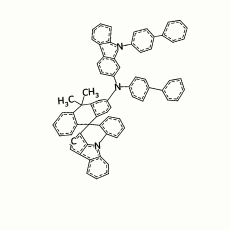 CC1(C)c2ccccc2C2(c3ccccc3-n3c4ccccc4c4cccc2c43)c2ccc(N(c3ccc(-c4ccccc4)cc3)c3ccc4c5ccccc5n(-c5ccc(-c6ccccc6)cc5)c4c3)cc21